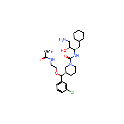 COC(=O)NCCOC(c1cccc(Cl)c1)[C@@H]1CCCN(C(=O)N[C@@H](CC2CCCCC2)[C@@H](O)CN)C1